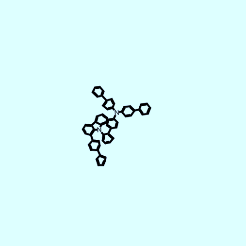 c1ccc(-c2ccc(-c3cccc4c5ccccc5n(-c5ccccc5-c5ccc(N(c6ccc(-c7ccccc7)cc6)c6ccc(-c7ccccc7)cc6)cc5)c34)cc2)cc1